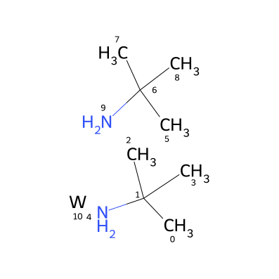 CC(C)(C)N.CC(C)(C)N.[W]